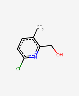 OCc1nc(Cl)ccc1C(F)(F)F